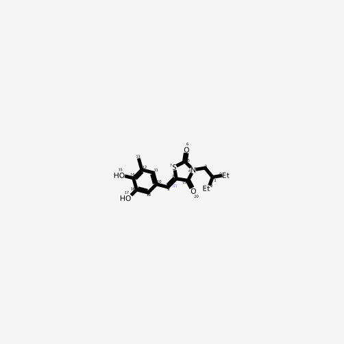 CCC(CC)CN1C(=O)S/C(=C\c2cc(C)c(O)c(O)c2)C1=O